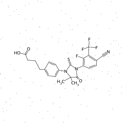 CC1(C)C(=O)N(c2ccc(C#N)c(C(F)(F)F)c2F)C(=S)N1c1ccc(CCCC(=O)O)cc1